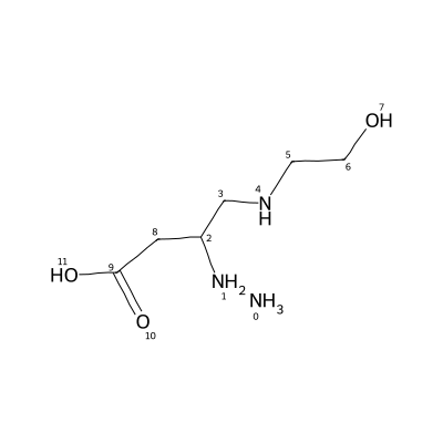 N.NC(CNCCO)CC(=O)O